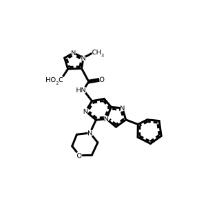 Cn1ncc(C(=O)O)c1C(=O)Nc1cc2nc(-c3ccccc3)cn2c(N2CCOCC2)n1